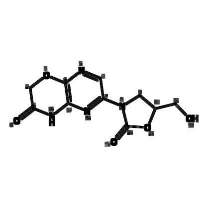 O=C1COc2ncc(N3CC(CO)OC3=O)nc2N1